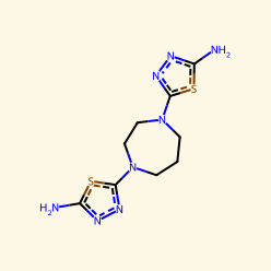 Nc1nnc(N2CCCN(c3nnc(N)s3)CC2)s1